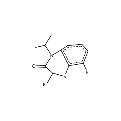 CC(C)N1C(=O)C(Br)Sc2c(F)cccc21